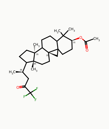 CC(=O)O[C@H]1CCC23C[C@]24CC[C@]2(C)C([C@H](C)CC(=O)C(F)(F)F)CC[C@@]2(C)C4CCC3C1(C)C